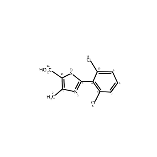 Cc1nc(-c2c(Cl)cccc2Cl)sc1C(=O)O